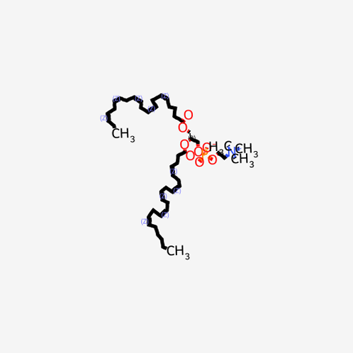 CC/C=C\C/C=C\C/C=C\C/C=C\C/C=C\CCCC(=O)OC[C@H](COP(=O)([O-])OCC[N+](C)(C)C)OC(=O)CC/C=C\C/C=C\C/C=C\C/C=C\C/C=C\CCCCC